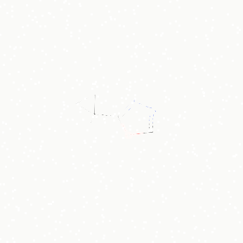 CCC1(c2nnc(C)o2)CC1